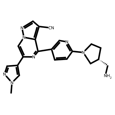 Cn1cc(-c2cn3ncc(C#N)c3c(-c3ccc(N4CC[C@H](CN)C4)nc3)n2)cn1